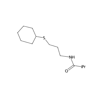 CC(C)C(=O)NCCCSC1CCCCC1